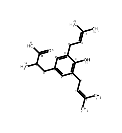 CC(C)=CCc1cc(CC(C)C(=O)O)cc(CC=C(C)C)c1O